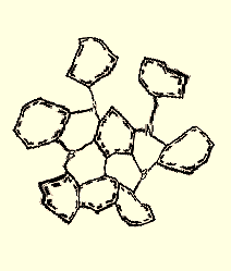 c1ccc(N2c3ccccc3B3c4c2cc2c5c4-c4c6c3cccc6cc3cccc(c43)B5c3ccccc3N2c2ccccc2)cc1